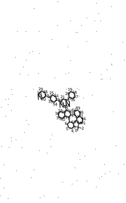 CC1(C)c2cccc(-c3ccc(-c4nc(-c5ccccc5)cc(-c5ccc(-c6cccnc6)cc5)n4)c4ccccc34)c2-c2c1ccc1ccccc21